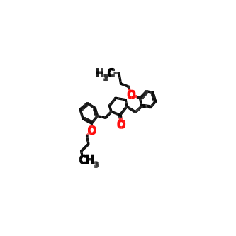 CCCCOc1ccccc1CC1CCCC(Cc2ccccc2OCCCC)C1=O